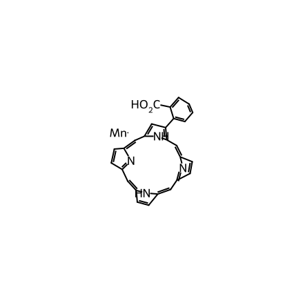 O=C(O)c1ccccc1-c1cc2cc3nc(cc4ccc(cc5nc(cc1[nH]2)C=C5)[nH]4)C=C3.[Mn]